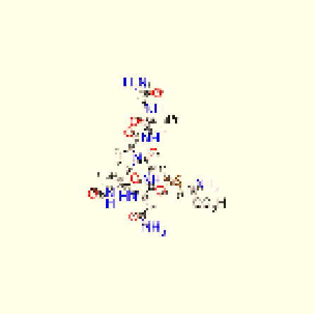 CC(C)C[C@H](NC(=O)[C@@H]1CCCN1C(=O)[C@H](CSSC[C@H](N)C(=O)O)NC(=O)[C@H](CC(N)=O)NC(=O)[C@@H]1CCC(=O)N1)C(=O)NCC(N)=O